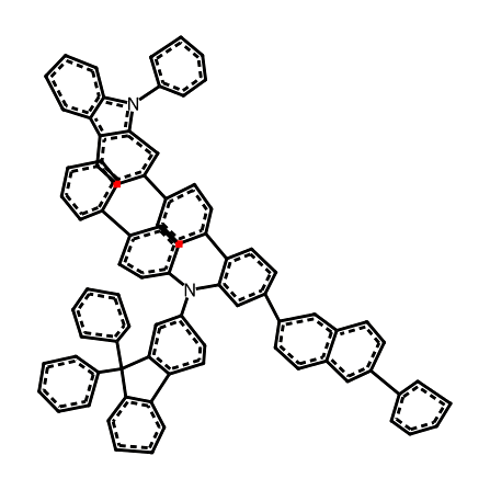 c1ccc(-c2ccc(N(c3ccc4c(c3)C(c3ccccc3)(c3ccccc3)c3ccccc3-4)c3cc(-c4ccc5cc(-c6ccccc6)ccc5c4)ccc3-c3ccc(-c4ccc5c6ccccc6n(-c6ccccc6)c5c4)cc3)cc2)cc1